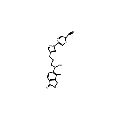 Cc1c(C(O)CNCc2cnn(-c3cnc(C#N)cn3)c2)ccc2c1COC2=O